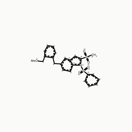 COCc1ccccc1Cc1ccc2c(c1)cc(S(C)(=O)=O)n2S(=O)(=O)c1ccccc1